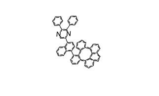 c1ccc(-c2ncc(-c3ccc(-c4cccc5c6cccc7ccc8cccc(c9ccccc9c45)c8c76)c4ccccc34)nc2-c2ccccc2)cc1